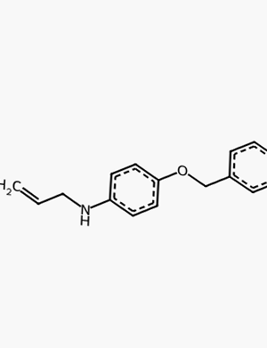 C=CCNc1ccc(OCc2ccccc2)cc1